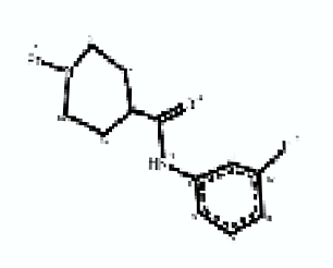 CCN1CCC(C(=O)Nc2cccc(F)c2)CC1